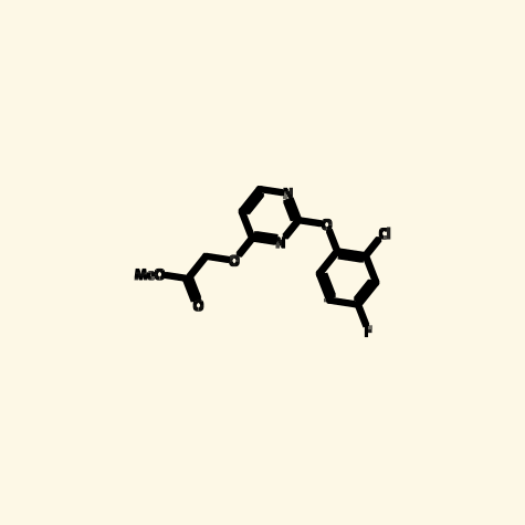 COC(=O)COc1ccnc(Oc2c[c]c(F)cc2Cl)n1